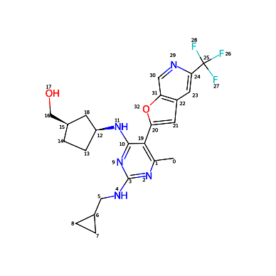 Cc1nc(NCC2CC2)nc(N[C@H]2CC[C@@H](CO)C2)c1-c1cc2cc(C(F)(F)F)ncc2o1